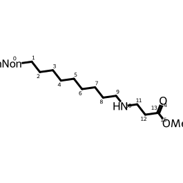 CCCCCCCCCCCCCCCCCCNCCC(=O)OC